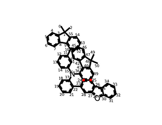 CC1(C)c2ccccc2-c2c(-c3cccc(N(c4ccccc4-c4ccc5c(c4)oc4ccccc45)c4cccc5c4-c4ccccc4C5(C)C)c3)cccc21